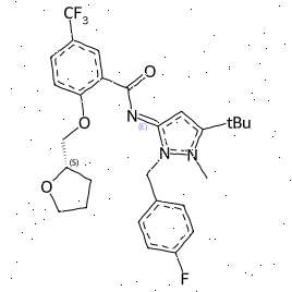 Cn1c(C(C)(C)C)c/c(=N\C(=O)c2cc(C(F)(F)F)ccc2OC[C@@H]2CCCO2)n1Cc1ccc(F)cc1